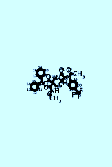 CONC(=O)C1(C(=O)OC(c2ccccc2)c2ccccc2)CS[C@@H]2C(N(C(C)=O)c3ccc(C(F)(F)F)cc3)C(=O)N2C1